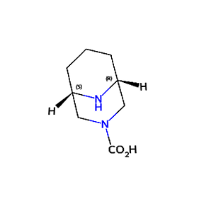 O=C(O)N1C[C@H]2CCC[C@@H](C1)N2